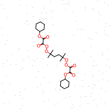 CC(C)(CCC(C)(C)OOC(=O)C(=O)OC1CCCCC1)OOC(=O)C(=O)OC1CCCCC1